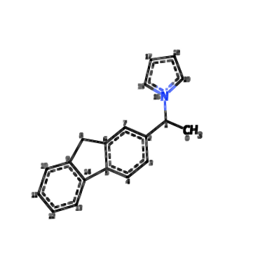 CC(c1ccc2c(c1)Cc1ccccc1-2)n1cccc1